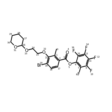 Cc1c(C(=O)Oc2c(F)c(F)c(F)c(F)c2F)ccc(Br)c1OCCOC1CCCCO1